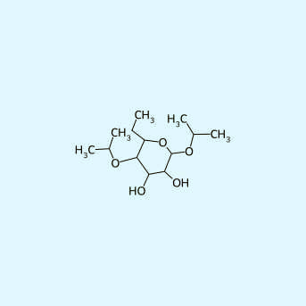 CCC1OC(OC(C)C)C(O)C(O)C1OC(C)C